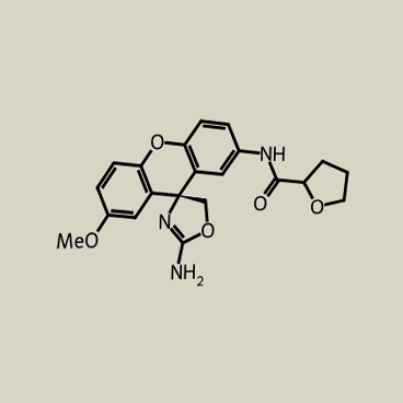 COc1ccc2c(c1)[C@]1(COC(N)=N1)c1cc(NC(=O)C3CCCO3)ccc1O2